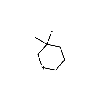 CC1(F)CCC[N]C1